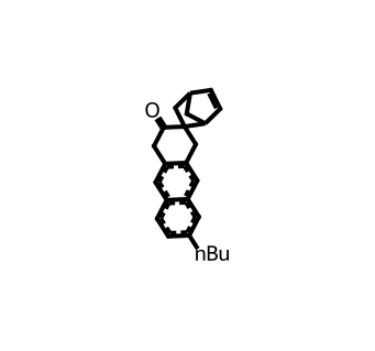 CCCCc1ccc2cc3c(cc2c1)CC1(CC2C=CC1C2)C(=O)C3